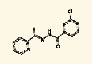 C/C(=N\NC(=O)c1cccc(Cl)c1)c1ccccn1